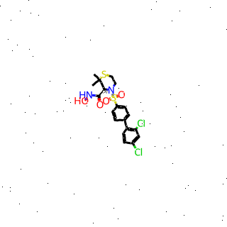 CC1(C)SCCN(S(=O)(=O)c2ccc(-c3ccc(Cl)cc3Cl)cc2)[C@H]1C(=O)NO